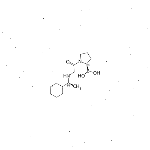 C[C@H](NCC(=O)N1CCC[C@H]1B(O)O)C1CCCCC1